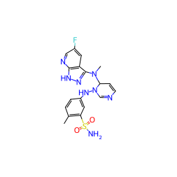 Cc1ccc(NN2C=NC=CC2N(C)c2n[nH]c3ncc(F)cc23)cc1S(N)(=O)=O